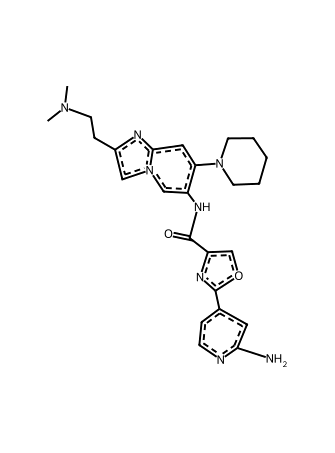 CN(C)CCc1cn2cc(NC(=O)c3coc(-c4ccnc(N)c4)n3)c(N3CCCCC3)cc2n1